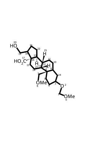 COCOC1CC[C@@]2(COC)C(CC[C@@H]3[C@H]2CC[C@@]2(C(=O)O)C(CO)CC[C@@H]32)C1